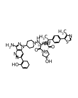 Cc1ncsc1-c1ccc([C@H](C)NC(=O)[C@@H]2C[C@@H](O)CN2C(=O)[C@@H](NN2CCC(n3nc(N)c4nnc(C5=C(O)C=CCC5)cc43)CC2)C(C)(C)C)cc1